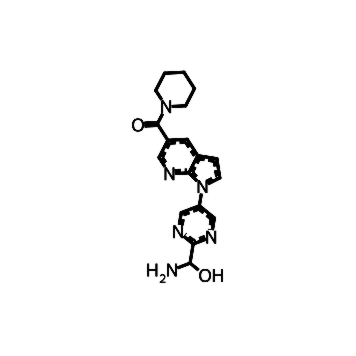 NC(O)c1ncc(-n2ccc3cc(C(=O)N4CCCCC4)cnc32)cn1